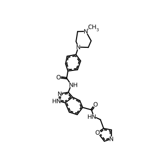 CN1CCN(c2ccc(C(=O)Nc3n[nH]c4ccc(C(=O)NCc5cnco5)cc34)cc2)CC1